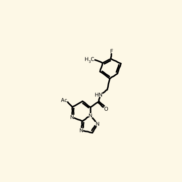 CC(=O)c1cc(C(=O)NCc2ccc(F)c(C)c2)n2ncnc2n1